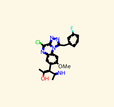 COc1cc2c(cc1/C(C(C)=N)=C(\C)O)nc(Cl)c1nnc(Cc3cccc(F)c3)n12